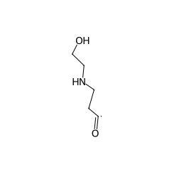 O=[C]CCNCCO